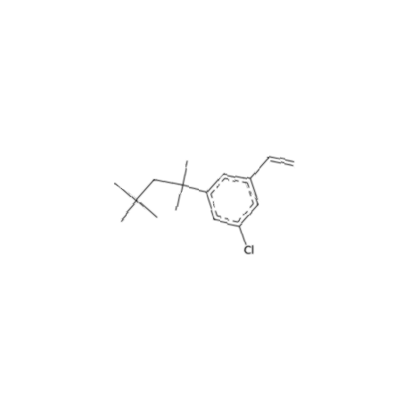 C=Cc1cc(Cl)cc(C(C)(C)CC(C)(C)C)c1